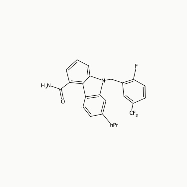 CCCc1c[c]c2c3c(C(N)=O)cccc3n(Cc3cc(C(F)(F)F)ccc3F)c2c1